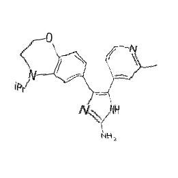 Cc1cc(-c2[nH]c(N)nc2-c2ccc3c(c2)N(C(C)C)CCO3)ccn1